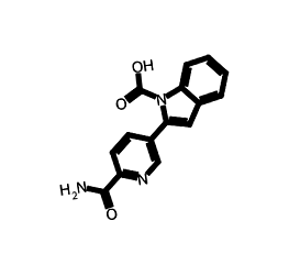 NC(=O)c1ccc(-c2cc3ccccc3n2C(=O)O)cn1